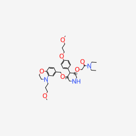 CCN(CC)C(=O)CO[C@@H]1CNC[C@H](OCc2ccc3c(c2)N(CCCOC)CCO3)C1c1ccc(OCCCOC)cc1